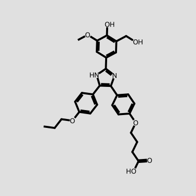 CCCOc1ccc(-c2[nH]c(-c3cc(CO)c(O)c(OC)c3)nc2-c2ccc(OCCCC(=O)O)cc2)cc1